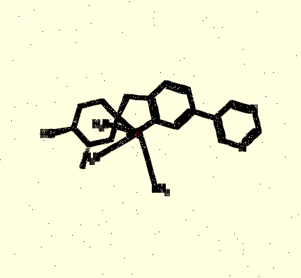 BC1(B)OC(N)=NC12c1cc(-c3cncnc3)ccc1C[C@@]21CC[C@H](O)[C@@H](C)C1